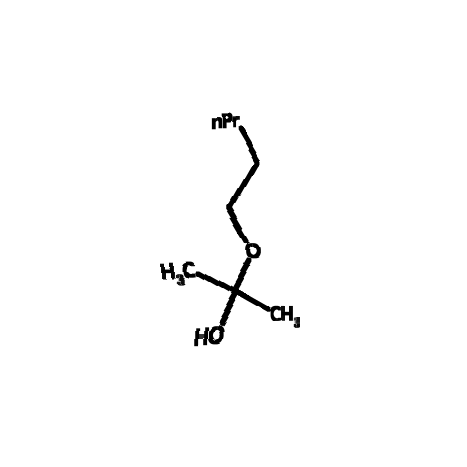 CCCCCOC(C)(C)O